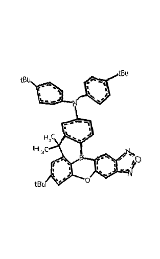 CC(C)(C)c1ccc(N(c2ccc(C(C)(C)C)cc2)c2ccc3c(c2)C(C)(C)c2cc(C(C)(C)C)cc4c2B3c2cc3nonc3cc2O4)cc1